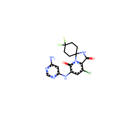 Nc1cc(Nc2cc(Cl)c3n(c2=O)C2(CCC(F)(F)CC2)NC3=O)ncn1